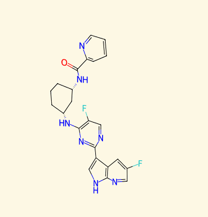 O=C(N[C@H]1CCC[C@@H](Nc2nc(-c3c[nH]c4ncc(F)cc34)ncc2F)C1)c1ccccn1